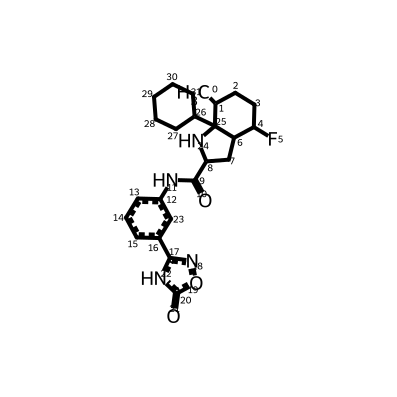 CC1CCC(F)C2CC(C(=O)Nc3cccc(-c4noc(=O)[nH]4)c3)NC12C1CCCCC1